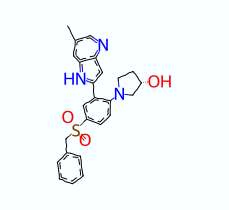 Cc1cnc2cc(-c3cc(S(=O)(=O)Cc4ccccc4)ccc3N3CC[C@H](O)C3)[nH]c2c1